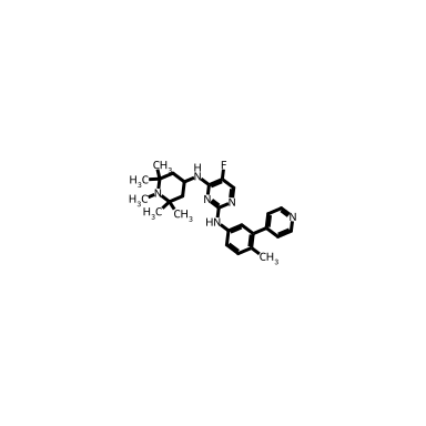 Cc1ccc(Nc2ncc(F)c(NC3CC(C)(C)N(C)C(C)(C)C3)n2)cc1-c1ccncc1